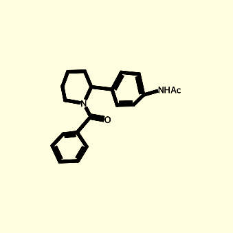 CC(=O)Nc1ccc(C2CCCCN2C(=O)c2ccccc2)cc1